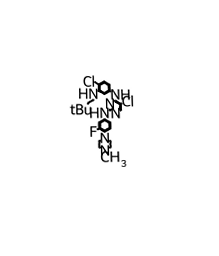 CN1CCN(c2ccc(Nc3ncc(Cl)c(Nc4ccc(Cl)c(NCCC(C)(C)C)c4)n3)cc2F)CC1